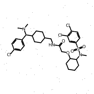 CN(C)C(c1ccc(Cl)cc1)C1CCC(CNC(=O)COC2CCCCC2N(C)S(=O)(=O)c2ccc(Cl)c(Cl)c2)CC1